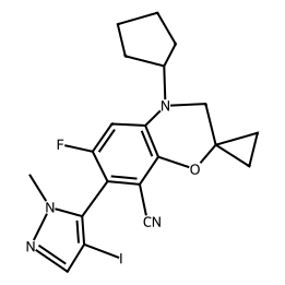 Cn1ncc(I)c1-c1c(F)cc2c(c1C#N)OC1(CC1)CN2C1CCCC1